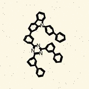 c1ccc(-c2ccc(-n3c4ccccc4c4ccc(-c5cccc(-c6nc(-c7cccc(-c8ccccc8)c7)nc(-c7cccc(-c8ccccc8)c7)n6)c5)cc43)cc2)cc1